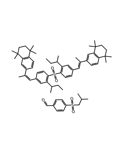 CC(C)CS(=O)(=O)c1ccc(C=O)cc1.CCC(C)c1cc(C=C(C)c2ccc3c(c2)C(C)(C)CCC3(C)C)ccc1S(=O)(=O)c1ccc(C=C(C)c2ccc3c(c2)C(C)(C)CCC3(C)C)cc1C(C)CC